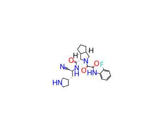 N#C[C@H](C[C@@H]1CCNC1)NC(=O)[C@@H]1[C@H]2CCC[C@H]2CN1C(=O)C(=O)Nc1ccccc1F